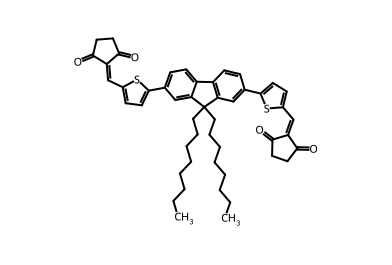 CCCCCCCCC1(CCCCCCCC)c2cc(-c3ccc(C=C4C(=O)CCC4=O)s3)ccc2-c2ccc(-c3ccc(C=C4C(=O)CCC4=O)s3)cc21